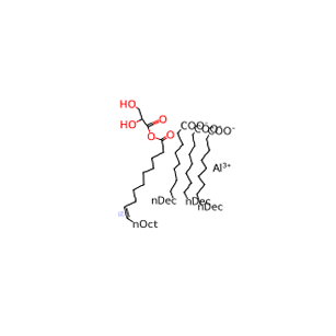 CCCCCCCC/C=C\CCCCCCCC(=O)OC(=O)C(O)CO.CCCCCCCCCCCCCCCCCC(=O)[O-].CCCCCCCCCCCCCCCCCC(=O)[O-].CCCCCCCCCCCCCCCCCC(=O)[O-].[Al+3]